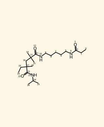 CCC(=O)NCCCCCNC(=O)C(C)(C)CC(C)(CC)C(=O)NC(C)C